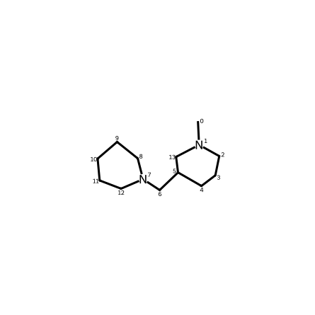 CN1CCCC(CN2CCCCC2)C1